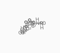 COc1nc(-c2cccc(-c3cccc(-c4cnc5c(c4)CCC[C@H]5NC[C@H]4CCC(=O)N4)c3Cl)c2Cl)ccc1CNC[C@H]1CCC(=O)N1